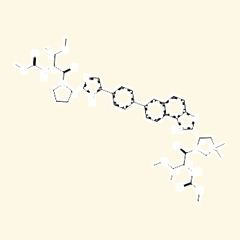 COC(=O)N[C@H](C(=O)N1CCC[C@H]1c1ncc(-c2ccc(-c3ccc4c(ccc5nc([C@@H]6C[Si](C)(C)CN6C(=O)[C@@H](NC(=O)OC)[C@@H](C)OC)[nH]c54)c3)cc2)[nH]1)[C@@H](C)OC